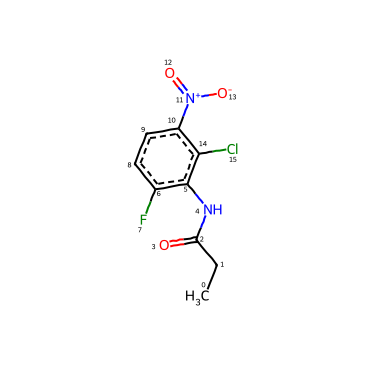 CCC(=O)Nc1c(F)ccc([N+](=O)[O-])c1Cl